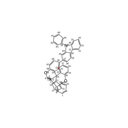 c1ccc(-c2cccc3c2C2(c4ccccc4Oc4ccccc42)c2cc(-c4ccc5c6ccccc6n(-c6ccccc6)c5c4)ccc2O3)cc1